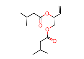 C=CC(COC(=O)CC(C)C)OC(=O)CC(C)C